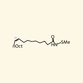 CCCCCCCC/C=C\CCCCCCCC(=O)NSC